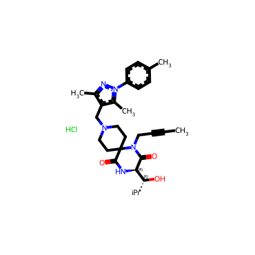 CC#CCN1C(=O)[C@@H]([C@H](O)C(C)C)NC(=O)C12CCN(Cc1c(C)nn(-c3ccc(C)cc3)c1C)CC2.Cl